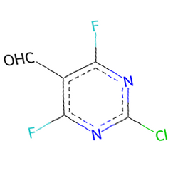 O=Cc1c(F)nc(Cl)nc1F